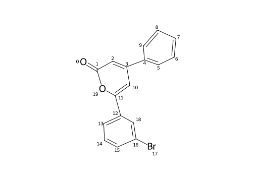 O=c1cc(-c2ccccc2)cc(-c2cccc(Br)c2)o1